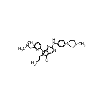 C=CCn1c(=O)c2cnc(Nc3ccc(N4CCN(C)CC4)cc3)nc2n1-c1cccc(CN(C)C)n1